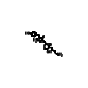 NCCCC[C@H](NC(=O)CNC(=O)[C@@H](N)Cc1ccc(O)cc1)C(=O)O